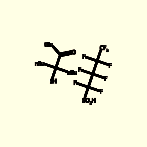 CCCCC(S)(CCCC)C(=O)C(C)(C)C.O=S(=O)(O)C(F)(F)C(F)(F)C(F)(F)C(F)(F)F